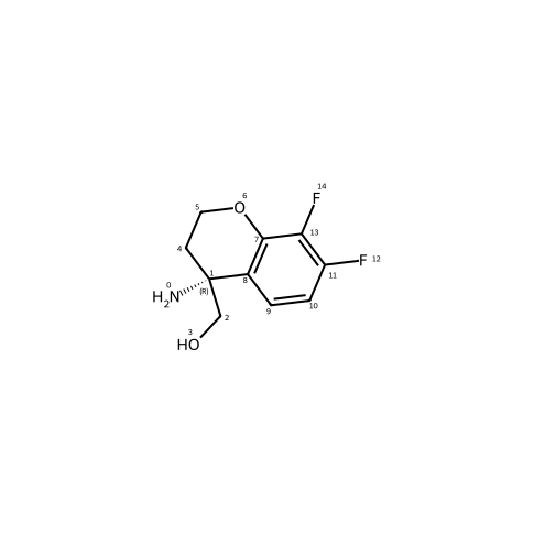 N[C@]1(CO)CCOc2c1ccc(F)c2F